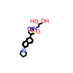 N#CC/C(=C\S(=O)(=O)NC[C@H](O)CO)c1ccc2cc(N3CCCCC3)ccc2c1